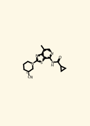 Cc1cnc(NC(=O)C2CC2)c2sc(N3CCC[C@H](C#N)C3)nc12